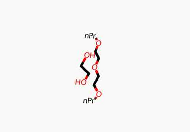 CCCOCCOCCOCCC.OCCO